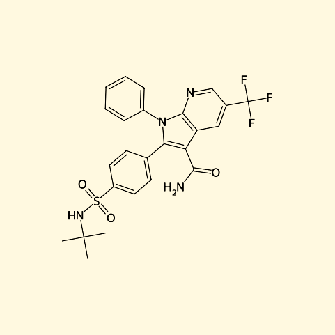 CC(C)(C)NS(=O)(=O)c1ccc(-c2c(C(N)=O)c3cc(C(F)(F)F)cnc3n2-c2ccccc2)cc1